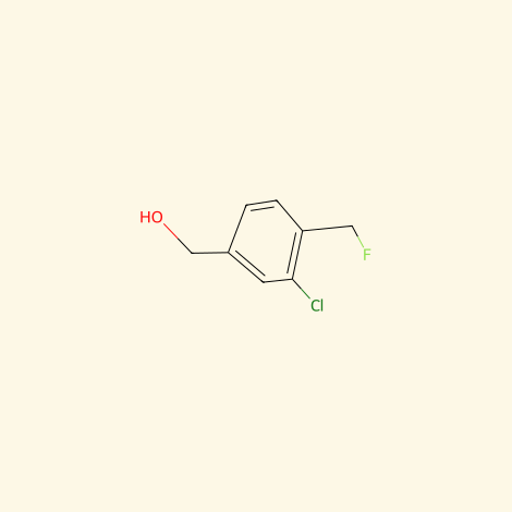 OCc1ccc(CF)c(Cl)c1